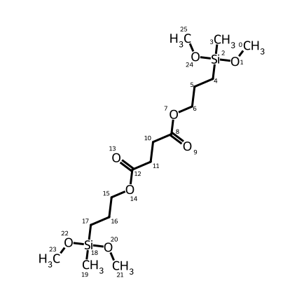 CO[Si](C)(CCCOC(=O)CCC(=O)OCCC[Si](C)(OC)OC)OC